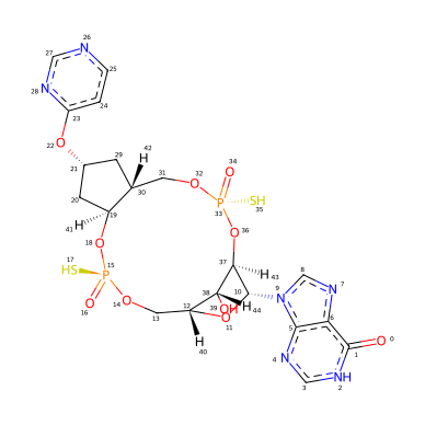 O=c1[nH]cnc2c1ncn2[C@@H]1O[C@@H]2CO[P@@](=O)(S)O[C@H]3C[C@H](Oc4ccncn4)C[C@@H]3CO[P@](=O)(S)O[C@@H]1[C@@H]2O